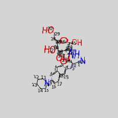 N#C/C(=C/c1ccc2cc(N3CCCCC3)ccc2c1)C(=O)N[C@H]1C(O)O[C@H](CCO)[C@@H](O)[C@@H]1O